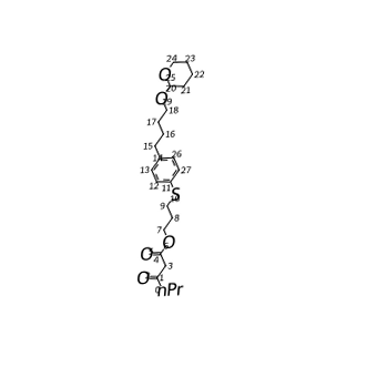 CCCC(=O)CC(=O)OCCCSc1ccc(CCCCOC2CCCCO2)cc1